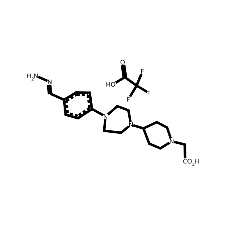 NN=Cc1ccc(N2CCN(C3CCN(CC(=O)O)CC3)CC2)cc1.O=C(O)C(F)(F)F